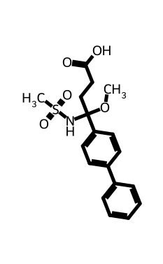 COC(CCC(=O)O)(NS(C)(=O)=O)c1ccc(-c2ccccc2)cc1